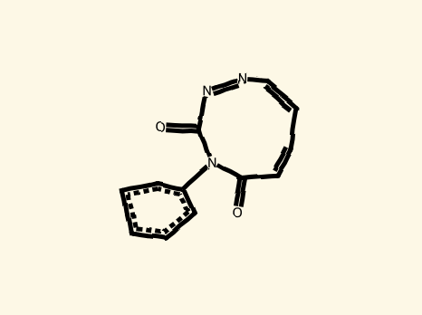 O=C1C=CC=CN=NC(=O)N1c1ccccc1